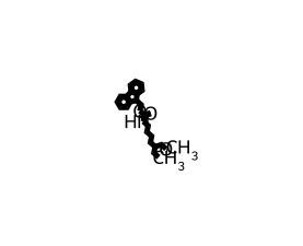 CCC(CCCCNC(=O)OCC1c2ccccc2-c2ccccc21)COC